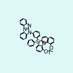 CC1(C)Oc2ccccc2Oc2c(cccc2[Si](c2ccccc2)(c2ccccc2)c2cccc(-n3c4ccccc4n4c5ccccc5nc34)c2)O1